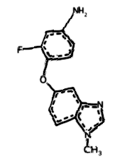 Cn1cnc2cc(Oc3ccc(N)cc3F)ccc21